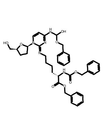 O=C(N[C@@H](CCCC/N=c1\nc(NC(O)OCc2ccccc2)ccn1[C@H]1CC[C@@H](CO)O1)C(=O)OCc1ccccc1)OCc1ccccc1